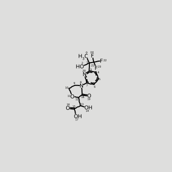 CC(O)(c1cccc(N2CCOC(C(O)C(=O)O)C2=O)n1)C(F)(F)F